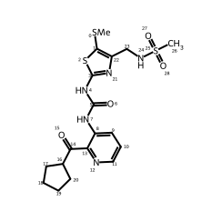 CSc1sc(NC(=O)Nc2cccnc2C(=O)C2CCCC2)nc1CNS(C)(=O)=O